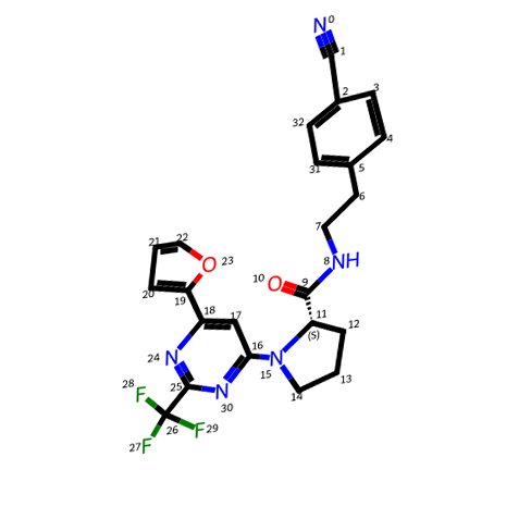 N#Cc1ccc(CCNC(=O)[C@@H]2CCCN2c2cc(-c3ccco3)nc(C(F)(F)F)n2)cc1